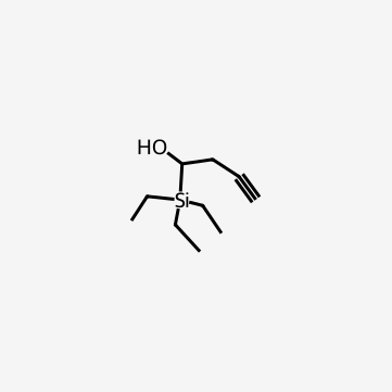 C#CCC(O)[Si](CC)(CC)CC